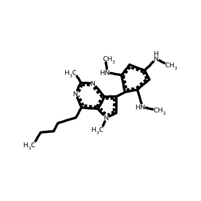 CC[CH]CCc1nc(C)nc2c(-c3c(NC)cc(NC)cc3NC)cn(C)c12